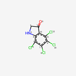 O=C1CNc2c(Cl)c(Cl)c(Cl)c(Cl)c21